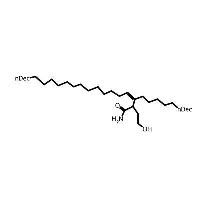 CCCCCCCCCCCCCCCCCCCCCCC=C(CCCCCCCCCCCCCCC)C(CCO)C(N)=O